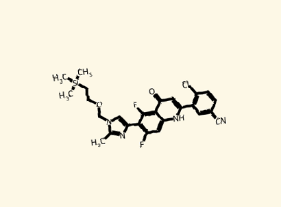 Cc1nc(-c2c(F)cc3[nH]c(-c4cc(C#N)ccc4Cl)cc(=O)c3c2F)cn1COCC[Si](C)(C)C